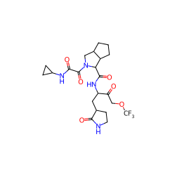 O=C(NC1CC1)C(=O)N1CC2CCCC2C1C(=O)NC(CC1CCNC1=O)C(=O)COC(F)(F)F